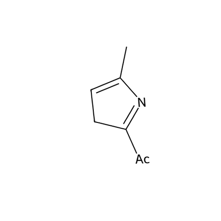 CC(=O)C1=NC(C)=CC1